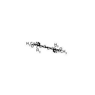 CC(=O)OCc1nccc(OCCOCCOCCOc2ccnc(COC(C)=O)c2C)c1C